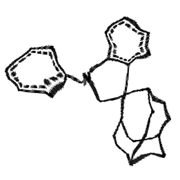 c1ccc(N2CC3(c4ccccc42)C2CC4CC(C2)CC3C4)cc1